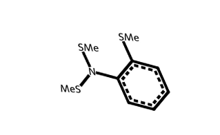 CSc1ccccc1N(SC)SC